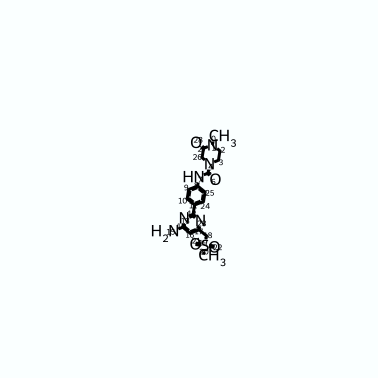 CN1CCN(C(=O)Nc2ccc(-c3nc(N)cc(CS(C)(=O)=O)n3)cc2)CC1=O